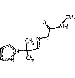 CNC(=O)ON=CC(C)(C)n1cccn1